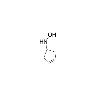 ONC1CC=CC1